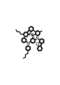 CCCCc1ccc(N(c2ccccc2)c2ccc3c(c2)B2c4c(cc(C)cc4N3c3cccc4c3oc3ccccc34)-c3cccc4c5cc(CCCC)ccc5n2c34)cc1